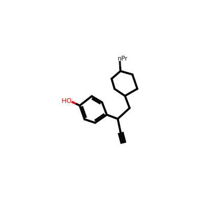 C#CC(CC1CCC(CCC)CC1)c1ccc(O)cc1